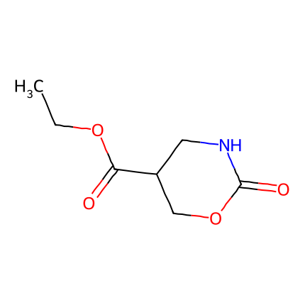 CCOC(=O)C1CNC(=O)OC1